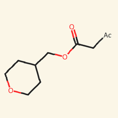 CC(=O)CC(=O)OCC1CCOCC1